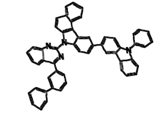 c1ccc(-c2cccc(-c3nc(-n4c5ccc(-c6ccc7c(c6)c6ccccc6n7-c6ccccc6)cc5c5c6ccccc6ccc54)nc4ccccc34)c2)cc1